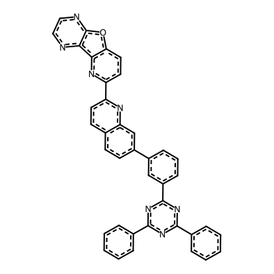 c1ccc(-c2nc(-c3ccccc3)nc(-c3cccc(-c4ccc5ccc(-c6ccc7oc8nccnc8c7n6)nc5c4)c3)n2)cc1